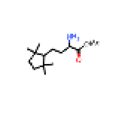 COC(=O)C(N)CCC1C(C)(C)CCC1(C)C